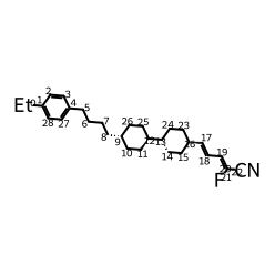 CCc1ccc(CCCC[C@H]2CC[C@H]([C@H]3CC[C@H](C=CC=C(F)C#N)CC3)CC2)cc1